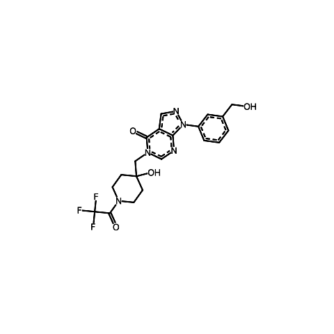 O=C(N1CCC(O)(Cn2cnc3c(cnn3-c3cccc(CO)c3)c2=O)CC1)C(F)(F)F